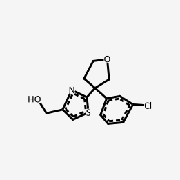 OCc1csc(C2(c3cccc(Cl)c3)CCOC2)n1